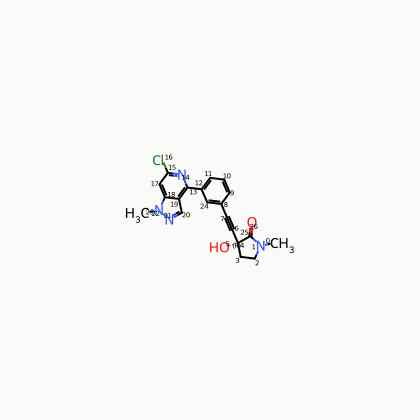 CN1CC[C@@](O)(C#Cc2cccc(-c3nc(Cl)cc4c3cnn4C)c2)C1=O